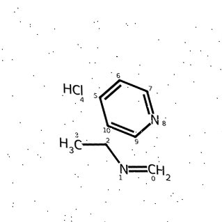 C=NCC.Cl.c1ccncc1